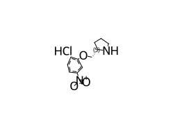 Cl.O=[N+]([O-])c1cccc(OC[C@@H]2CCCN2)c1